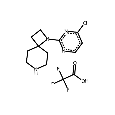 Clc1ccnc(N2CCC23CCNCC3)n1.O=C(O)C(F)(F)F